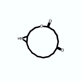 O=C1CCCCCCC2NC2CCOC(=O)CCC1